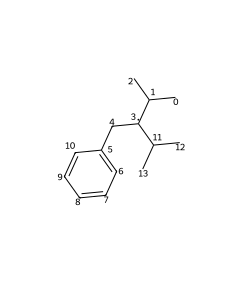 CC(C)[C](Cc1ccccc1)C(C)C